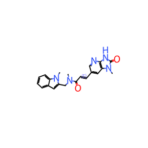 CN(Cc1cc2ccccc2n1C)C(=O)/C=C/c1cnc2[nH]c(=O)n(C)c2c1